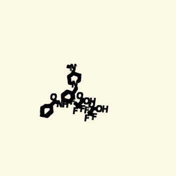 CN(C)C1CCN(Cc2ccc(NC(=O)c3ccccc3)cc2)CC1.O=C(O)C(F)(F)F.O=C(O)C(F)(F)F